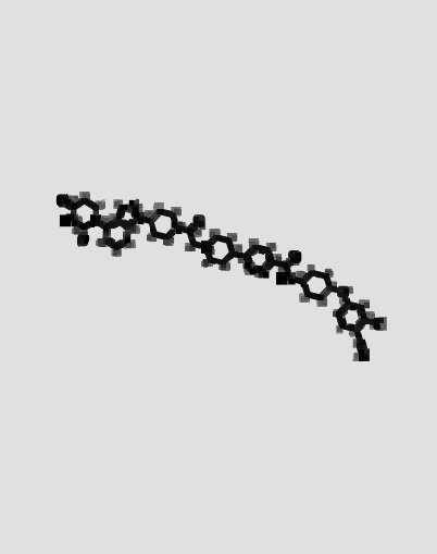 N#Cc1ccc(OC2CCC(NC(=O)c3ccc(C4CCN(CC(=O)N5CCC(n6ncc7c(N8CCC(=O)NC8=O)cccc76)CC5)CC4)nn3)CC2)cc1Cl